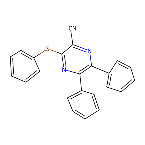 N#Cc1nc(-c2ccccc2)c(-c2ccccc2)nc1Sc1ccccc1